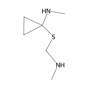 CNCSC1(NC)CC1